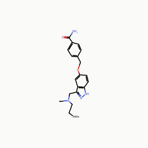 CNCCN(C)Cc1n[nH]c2ccc(OCc3ccc(C(N)=O)cc3)cc12